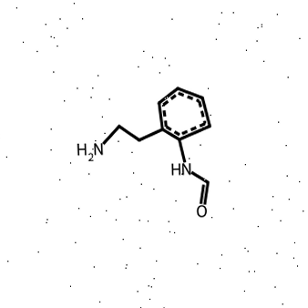 NCCc1ccccc1NC=O